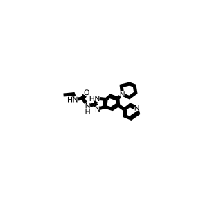 CCNC(=O)Nc1nc2cc(-c3cccnc3)c(N3CCCCC3)cc2[nH]1